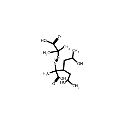 CC(O)CC(CC(C)O)C(C)(/N=N/C(C)(C)C(=O)O)C(=O)O